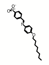 CCCCCCCCOc1ccc(/N=C/c2ccc([N+](=O)[O-])cc2)cc1